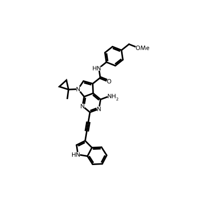 COCc1ccc(NC(=O)c2cn(C3(C)CC3)c3nc(C#Cc4c[nH]c5ccccc45)nc(N)c23)cc1